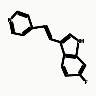 Fc1ccc2c(/C=C/c3ccncc3)c[nH]c2c1